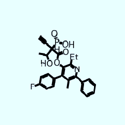 C#CC(C(=O)Oc1c(CC)nc(-c2ccccc2)c(C)c1-c1ccc(F)cc1)(C(C)O)[PH](=O)O